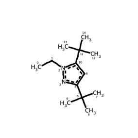 CCn1nc(C(C)(C)C)cc1C(C)(C)C